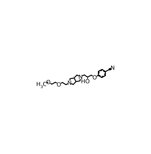 COCCOCCN1CC2CN(C[C@H](O)COc3ccc(C#N)cc3)CC2C1